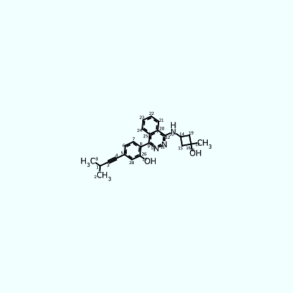 CC(C)C#Cc1ccc(-c2nnc(NC3CC(C)(O)C3)c3ccccc23)c(O)c1